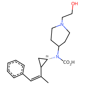 CC(=Cc1ccccc1)C1C[C@@H]1N(C(=O)O)C1CCN(CCO)CC1